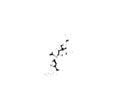 CNC(=O)c1cc(N(CCC2(N(C)C)CN(C(=O)OC(C)(C)C)C2)C(=O)OC)on1